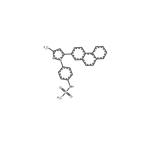 CS(=O)(=O)Nc1ccc(-n2nc(C(F)(F)F)cc2-c2ccc3c(ccc4ccccc43)c2)cc1